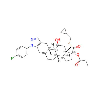 CCC(=O)O[C@]1(C(=O)SCC2CC2)CC[C@H]2[C@@H]3CCC4=Cc5c(cnn5-c5ccc(F)cc5)C[C@]4(C)[C@H]3[C@@H](O)C[C@@]21C